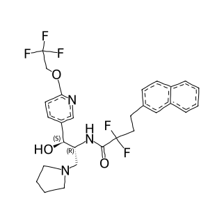 O=C(N[C@H](CN1CCCC1)[C@@H](O)c1ccc(OCC(F)(F)F)nc1)C(F)(F)CCc1ccc2ccccc2c1